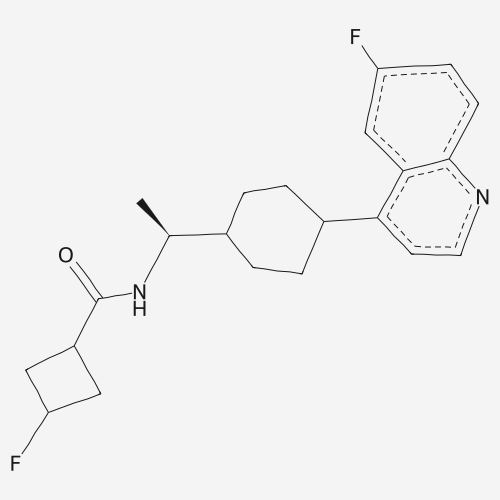 C[C@H](NC(=O)C1CC(F)C1)C1CCC(c2ccnc3ccc(F)cc23)CC1